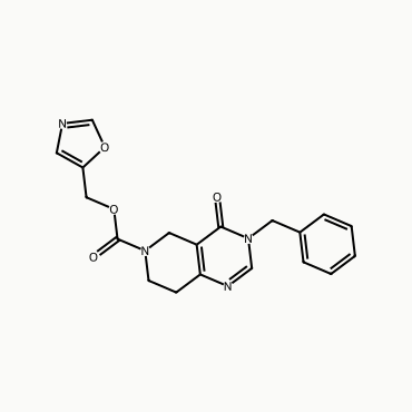 O=C(OCc1cnco1)N1CCc2ncn(Cc3ccccc3)c(=O)c2C1